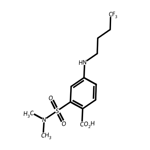 CN(C)S(=O)(=O)c1cc(NCCCC(F)(F)F)ccc1C(=O)O